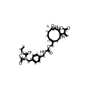 C=C1C(=O)O[C@H]2[C@H]1CC/C(COC(=O)NCc1ccc(Cn3c(=O)sn(CC)c3=O)cc1)=C\CC[C@@]1(C)O[C@@H]21